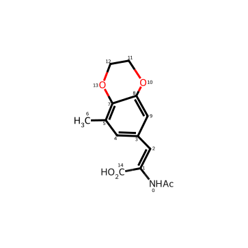 CC(=O)NC(=Cc1cc(C)c2c(c1)OCCO2)C(=O)O